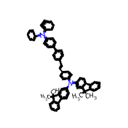 CC1(C)c2ccccc2-c2ccc(N(c3ccc(C=Cc4ccc(-c5ccc(N(c6ccccc6)c6ccccc6)cc5)cc4)cc3)c3ccc4c(c3)C(C)(C)c3ccccc3-4)cc21